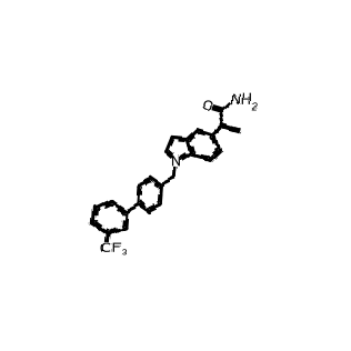 C=C(C(N)=O)c1ccc2c(ccn2Cc2ccc(-c3cccc(C(F)(F)F)c3)cc2)c1